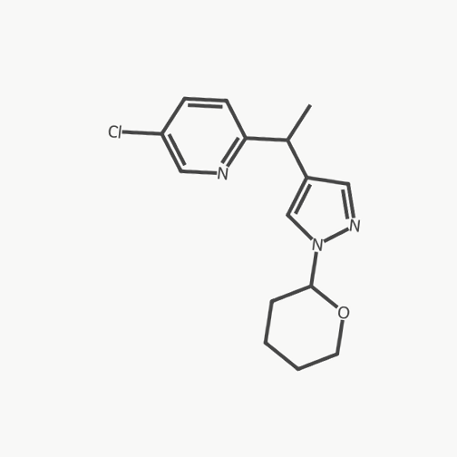 CC(c1cnn(C2CCCCO2)c1)c1ccc(Cl)cn1